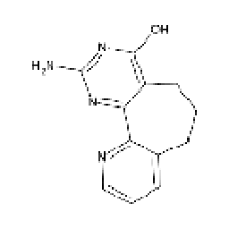 Nc1nc(O)c2c(n1)-c1ncccc1CCC2